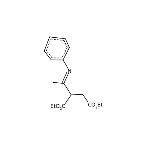 CCOC(=O)CC(C(=O)OCC)/C(C)=N/c1ccccc1